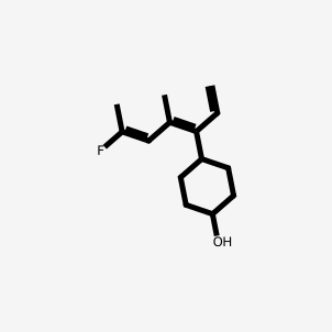 C=C/C(=C(C)/C=C(\C)F)C1CCC(O)CC1